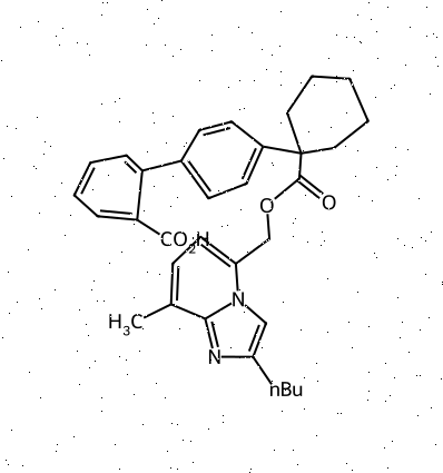 CCCCc1cn2c(COC(=O)C3(c4ccc(-c5ccccc5C(=O)O)cc4)CCCCC3)ccc(C)c2n1